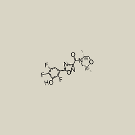 C[C@@H]1CN(C(=O)c2noc(-c3cc(F)c(F)c(O)c3F)n2)[C@H](C)CO1